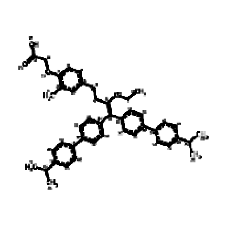 CCOC(CSc1ccc(OCC(=O)O)c(C)c1)=C(c1ccc(-c2ccc(C(C)C)cc2)cc1)c1ccc(-c2ccc(C(C)C)cc2)cc1